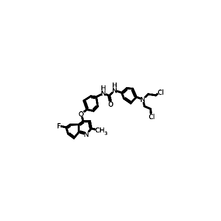 Cc1cc(Oc2ccc(NC(=O)Nc3ccc(N(CCCl)CCCl)cc3)cc2)c2cc(F)ccc2n1